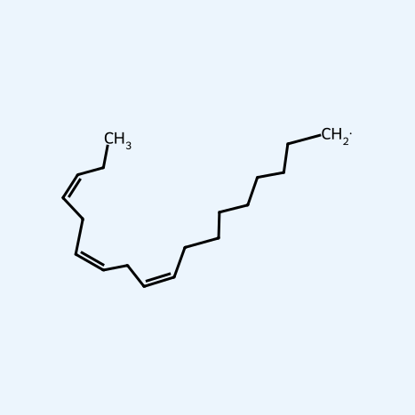 [CH2]CCCCCCC/C=C\C/C=C\C/C=C\CC